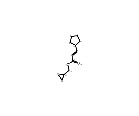 O=C(C=CC1CCCC1)OCC1CC1